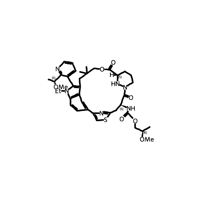 CCn1c(-c2cccnc2[C@H](C)OC)c2c3cc(ccc31)-c1csc(n1)C[C@H](NC(=O)OC[C@@H](C)OC)C(=O)N1CCC[C@H](N1)C(=O)OCC(C)(C)C2